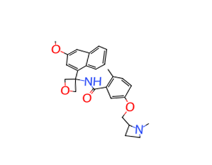 COc1cc(C2(NC(=O)c3cc(OCC4CCN4C)ccc3C)COC2)c2ccccc2c1